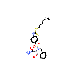 CCCCCSc1nc2ccc(S(=O)(=O)N(Cc3ccccc3)[C@H](CO)C(N)=O)cc2s1